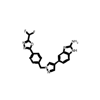 Nc1nc2cc(-c3cnn(Cc4ccc(-c5nnc(C(F)F)o5)cc4)c3)ccc2[nH]1